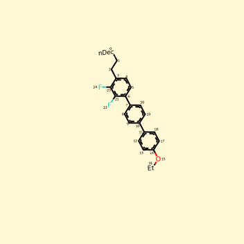 CCCCCCCCCCCCc1ccc(-c2ccc(-c3ccc(OCC)cc3)cc2)c(F)c1F